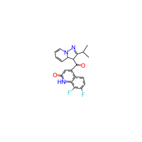 CC(C)C1=NN2C=CC=CC2C1C(=O)c1cc(=O)[nH]c2c(F)c(F)ccc12